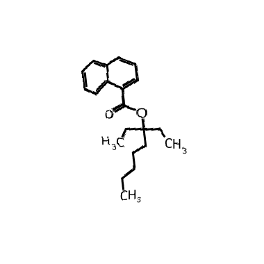 CCCCCC(CC)(CC)OC(=O)c1cccc2ccccc12